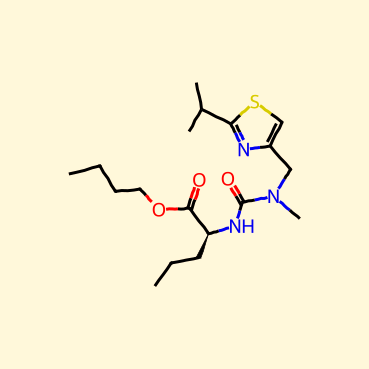 CCCCOC(=O)[C@H](CCC)NC(=O)N(C)Cc1csc(C(C)C)n1